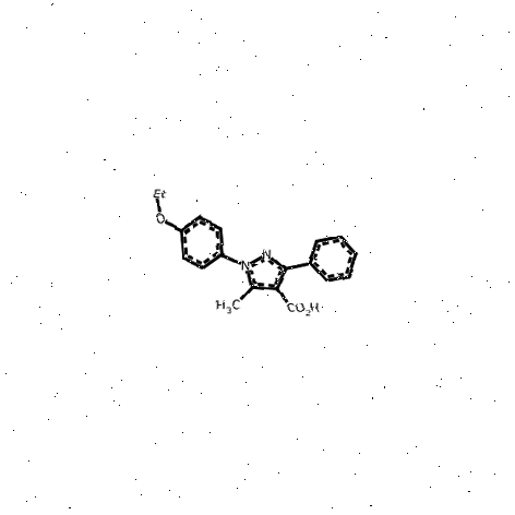 CCOc1ccc(-n2nc(-c3ccccc3)c(C(=O)O)c2C)cc1